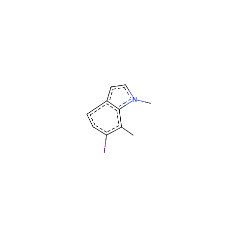 Cc1c(I)ccc2ccn(C)c12